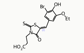 CCOc1cc(/C=C2\SC(=S)N(CCC(=O)O)C2=O)cc(Br)c1O